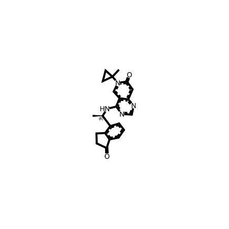 C[C@@H](Nc1ncnc2cc(=O)n(C3(C)CC3)cc12)c1cccc2c1CCC2=O